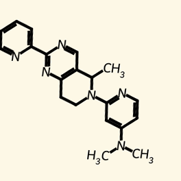 CC1c2cnc(-c3ccccn3)nc2CCN1c1cc(N(C)C)ccn1